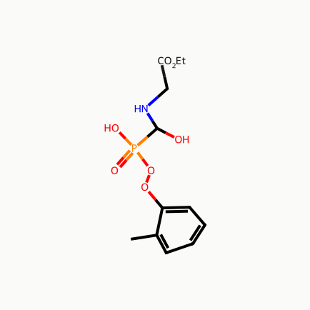 CCOC(=O)CNC(O)P(=O)(O)OOc1ccccc1C